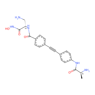 C[C@H](N)C(=O)Nc1ccc(C#Cc2ccc(C(=O)N[C@@H](CN)C(=O)NO)cc2)cc1